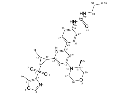 Cc1ocnc1S(=O)(=O)C1C(C)C1c1cc(N2CCOC[C@@H]2C)nc(-c2ccc(NC(=O)NCCF)cc2)n1